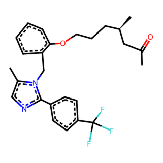 CC(=O)C[C@H](C)CCCOc1ccccc1Cn1c(C)cnc1-c1ccc(C(F)(F)F)cc1